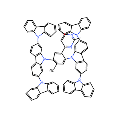 Cc1cc(-c2cc(-n3c4cc(-n5c6ccccc6c6ccccc65)ccc4c4ccc(-n5c6ccccc6c6ccccc65)cc43)c(C#N)cc2-n2c3cc(-n4c5ccccc5c5ccccc54)ccc3c3ccc(-n4c5ccccc5c5ccccc54)cc32)nc(C)n1